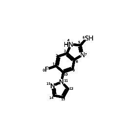 Fc1cc2[nH]c(S)nc2cc1-n1cccn1